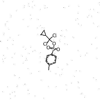 Cc1ccc(S(=O)(=O)OC(Cl)(Cl)C2CC2)cc1